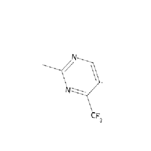 Cc1nc[c]c(C(F)(F)F)n1